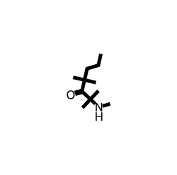 CCCC(C)(C)C(=O)C(C)(C)NC